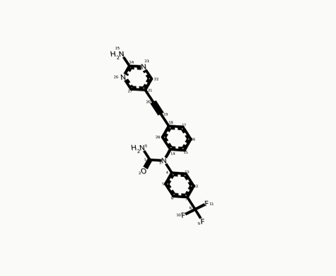 NC(=O)N(c1ccc(C(F)(F)F)cc1)c1cccc(C#Cc2cnc(N)nc2)c1